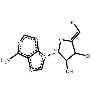 Nc1ncnc2c1ncn2[C@@H]1O/C(=C\Br)C(O)C1O